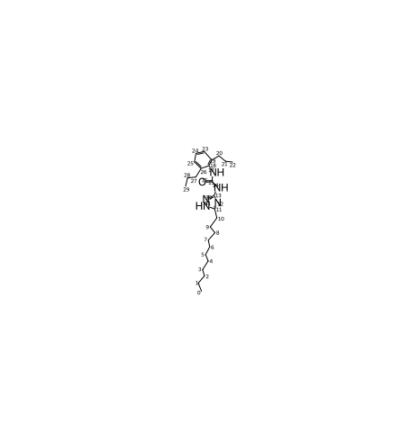 CCCCCCCCCCCc1nc(NC(=O)Nc2c(CCC)cccc2CCC)n[nH]1